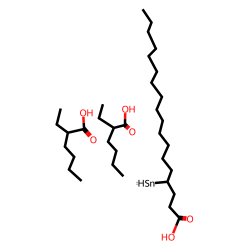 CCCCC(CC)C(=O)O.CCCCC(CC)C(=O)O.CCCCCCCCCCCCCC[CH]([SnH])CCC(=O)O